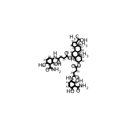 C[C@@H](O)C1CCC2C3C[C@H](OC(=O)CCC(=O)Nc4ccc(O)c(C(N)=O)c4O)[C@H]4C[C@@H](OC(=O)CCC(=O)Nc5ccc(O)c(C(N)=O)c5O)CC[C@]4(C)C3CC[C@@]21C